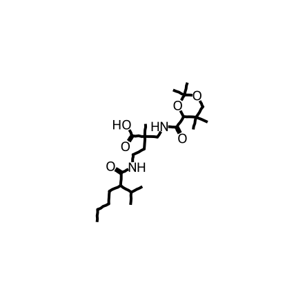 CCCCC(C(=O)NCCC(C)(CNC(=O)C1OC(C)(C)OCC1(C)C)C(=O)O)C(C)C